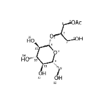 CC(=O)OCC(CO)O[C@@H]1O[C@H](CO)[C@@H](O)[C@H](O)[C@H]1O